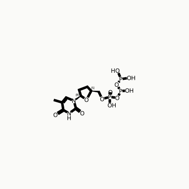 Cc1cn([C@H]2CC[C@@H](COP(=O)(O)OP(O)OP(O)O)O2)c(=O)[nH]c1=O